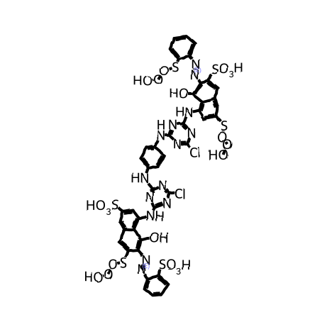 O=S(=O)(O)c1cc(Nc2nc(Cl)nc(Nc3ccc(Nc4nc(Cl)nc(Nc5cc(SOOO)cc6cc(S(=O)(=O)O)c(/N=N/c7ccccc7SOOO)c(O)c56)n4)cc3)n2)c2c(O)c(/N=N/c3ccccc3S(=O)(=O)O)c(SOOO)cc2c1